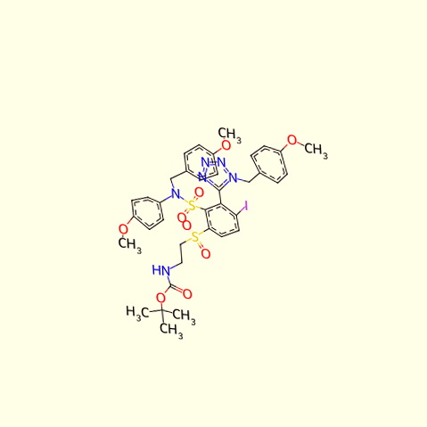 COc1ccc(CN(c2ccc(OC)cc2)S(=O)(=O)c2c(S(=O)(=O)CCNC(=O)OC(C)(C)C)ccc(I)c2-c2nnnn2Cc2ccc(OC)cc2)cc1